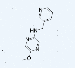 COc1cnc(NCc2cccnc2)cn1